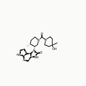 C[C@@H]1CCN(C(=O)N2CCC(C)(O)CC2)C[C@@H]1n1c(=O)[nH]c2cnc3[nH]ccc3c21